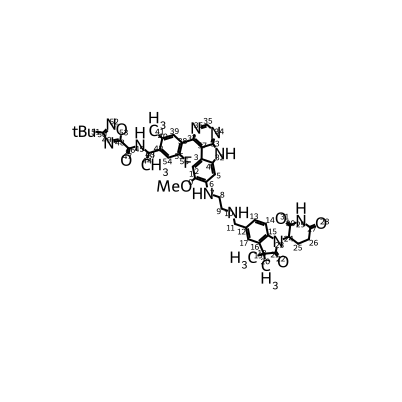 COc1cc2c(cc1NCCNCc1ccc3c(c1)C(C)(C)C(=O)N3C1CCC(=O)NC1=O)[nH]c1ncnc(-c3cc(C)c([C@@H](C)NC(=O)c4nc(C(C)(C)C)no4)cc3F)c12